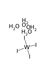 O.O.O.O.[I][W]([I])([I])[I]